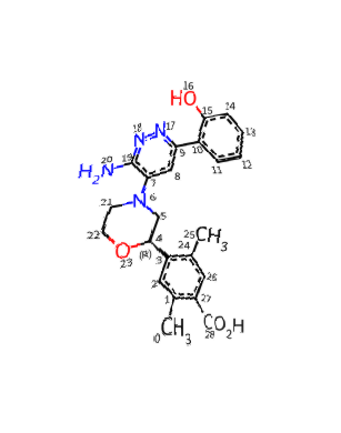 Cc1cc([C@@H]2CN(c3cc(-c4ccccc4O)nnc3N)CCO2)c(C)cc1C(=O)O